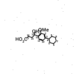 COc1cc(C2CCCCC2)ccc1C(O)CCC(=O)O